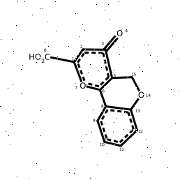 O=C(O)c1cc(=O)c2c(o1)-c1ccccc1OC2